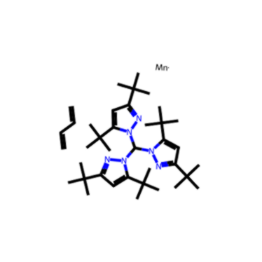 C=CC=C.CC(C)(C)c1cc(C(C)(C)C)n(C(n2nc(C(C)(C)C)cc2C(C)(C)C)n2nc(C(C)(C)C)cc2C(C)(C)C)n1.[Mn]